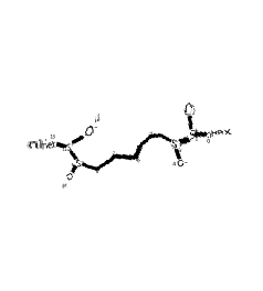 CCCCCC[S+]([O-])[S+]([O-])CCCC[S+]([O-])[S+]([O-])CCCCCC